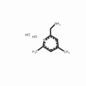 Cc1cc(C)nc(CN)c1.Cl.Cl